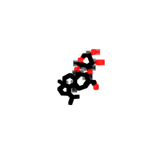 CC(C)C1=C2[C@H]3CC=C(C=O)[C@H]4O[C@H]5[C@@H](OC[C@@H](O)[C@@H]5O)O[C@@H]4C3CC[C@@]2(C)CC1